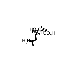 CC(=O)O.CC(=O)O.CC(=O)O.CC(N)CCO